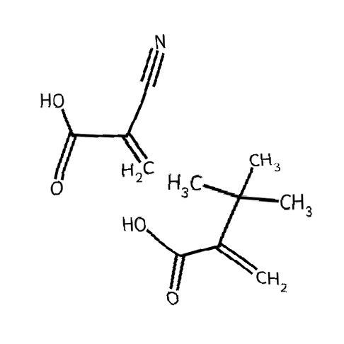 C=C(C#N)C(=O)O.C=C(C(=O)O)C(C)(C)C